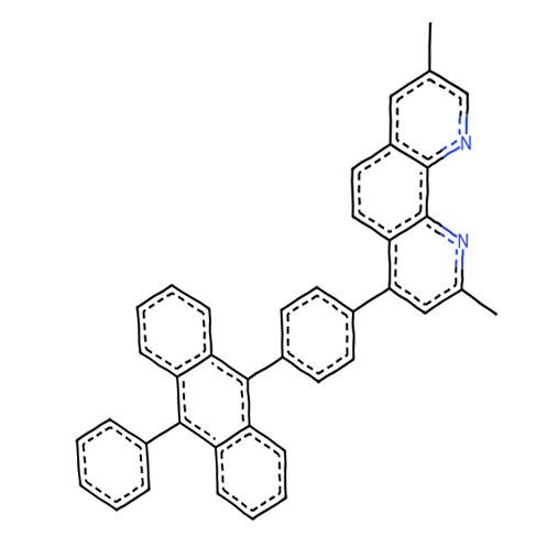 Cc1cnc2c(ccc3c(-c4ccc(-c5c6ccccc6c(-c6ccccc6)c6ccccc56)cc4)cc(C)nc32)c1